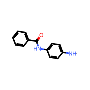 [NH]c1ccc(NC(=O)c2ccccc2)cc1